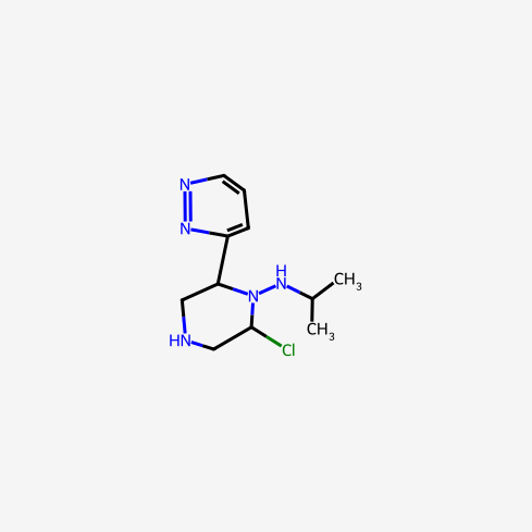 CC(C)NN1C(Cl)CNCC1c1cccnn1